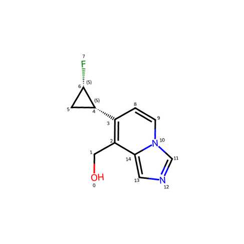 OCc1c([C@@H]2C[C@@H]2F)ccn2cncc12